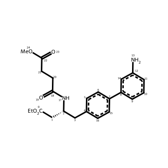 CCOC(=O)C[C@@H](Cc1ccc(-c2cccc(N)c2)cc1)NC(=O)CCC(=O)OC